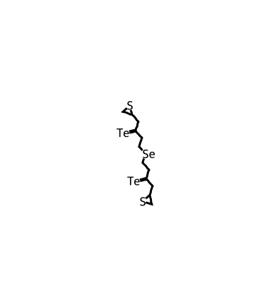 [Te]=C(CC[Se]CCC(=[Te])CC1CS1)CC1CS1